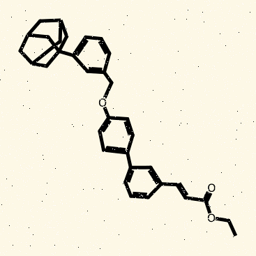 CCOC(=O)C=Cc1cccc(-c2ccc(OCc3cccc(C45CC6CC(CC(C6)C4)C5)c3)cc2)c1